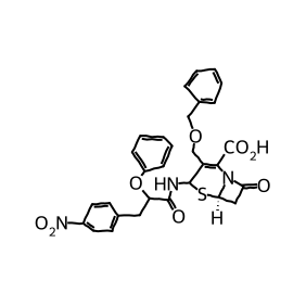 O=C(O)C1=C(COCc2ccccc2)C(NC(=O)C(Cc2ccc([N+](=O)[O-])cc2)Oc2ccccc2)S[C@@H]2CC(=O)N12